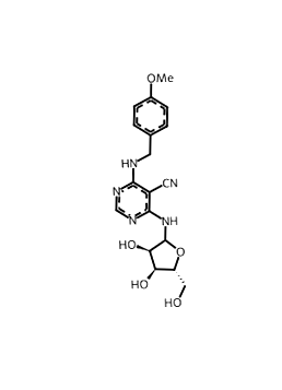 COc1ccc(CNc2ncnc(NC3O[C@H](CO)[C@@H](O)[C@H]3O)c2C#N)cc1